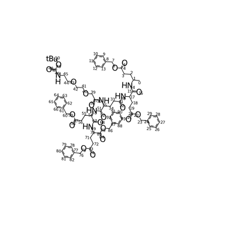 CC(CCC(=O)OCc1ccccc1)NC(=O)C(CCC(=O)OCc1ccccc1)NC(=O)CCC(NC(=O)COCCOCCNC(=O)OC(C)(C)C)C(=O)NC(CCC(=O)OCc1ccccc1)C(=O)NC(CCC(=O)OCc1ccccc1)C(=O)OCc1ccccc1